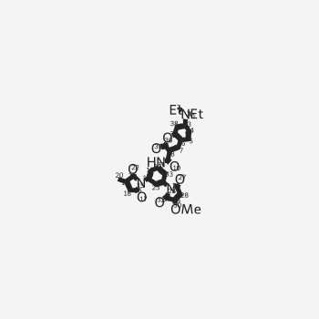 CCN(CC)c1ccc2cc(C(=O)Nc3cc(N4C(=O)C=C(C)C4=O)cc(N4C(=O)C=C(OC)C4=O)c3)c(=O)oc2c1